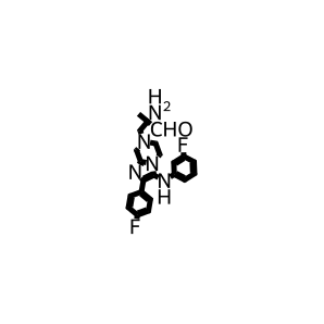 CC(N)(C=O)CN1CCn2c(nc(-c3ccc(F)cc3)c2Nc2cccc(F)c2)C1